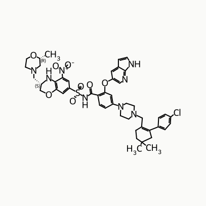 C[C@@H]1CN(C[C@H]2COc3cc(S(=O)(=O)NC(=O)c4ccc(N5CCN(CC6=C(c7ccc(Cl)cc7)CC(C)(C)CC6)CC5)cc4Oc4cnc5[nH]ccc5c4)cc([N+](=O)[O-])c3N2)CCO1